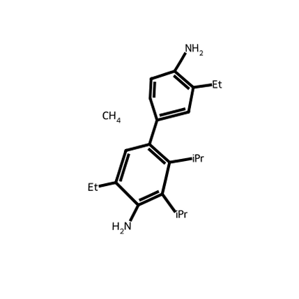 C.CCc1cc(-c2cc(CC)c(N)c(C(C)C)c2C(C)C)ccc1N